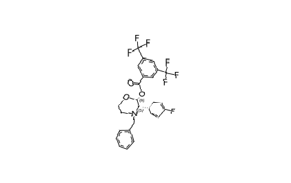 O=C(O[C@H]1OCCN(Cc2ccccc2)[C@H]1C1C=CC(F)=CC1)c1cc(C(F)(F)F)cc(C(F)(F)F)c1